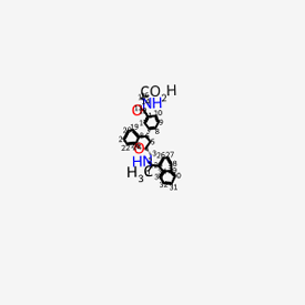 C[C@@H](NC[C@H]1C[C@@H](c2cccc(C(=O)NCC(=O)O)c2)c2ccccc2O1)c1cccc2ccccc12